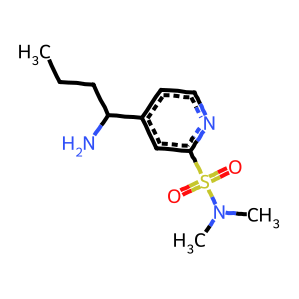 CCCC(N)c1ccnc(S(=O)(=O)N(C)C)c1